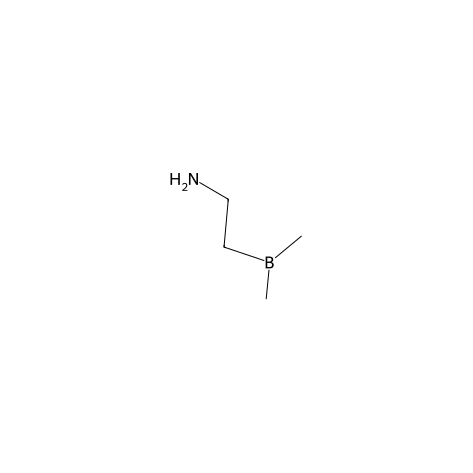 CB(C)CCN